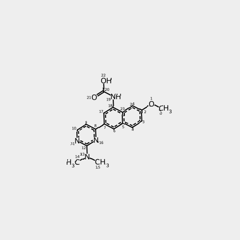 COc1ccc2cc(-c3ccnc(N(C)C)n3)cc(NC(=O)O)c2c1